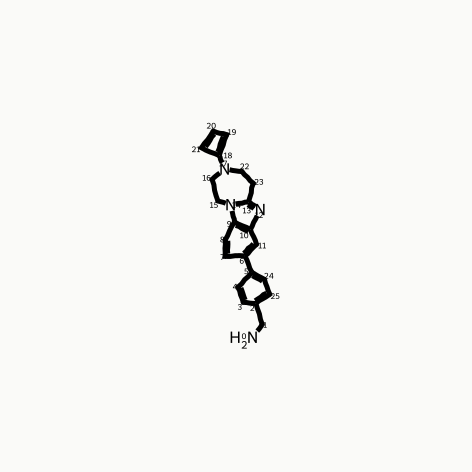 NCc1ccc(-c2ccc3c(c2)nc2n3CCN(C3=CC=C3)CC2)cc1